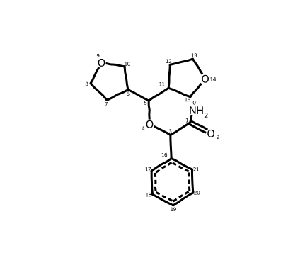 NC(=O)C(OC(C1CCOC1)C1CCOC1)c1ccccc1